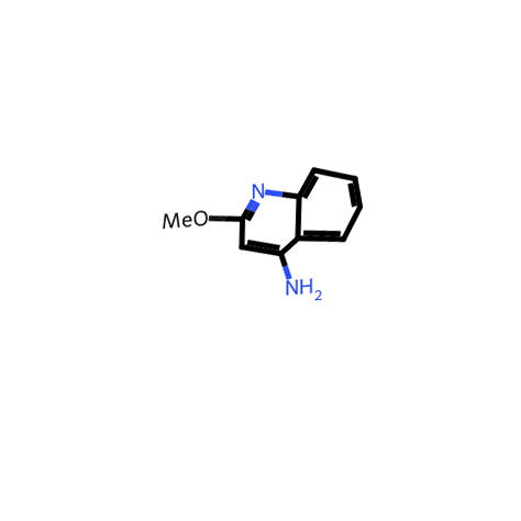 COc1cc(N)c2ccccc2n1